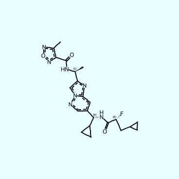 Cc1nonc1C(=O)N[C@@H](C)c1cn2ncc([C@H](NC(=O)[C@H](F)CC3CC3)C3CC3)cc2n1